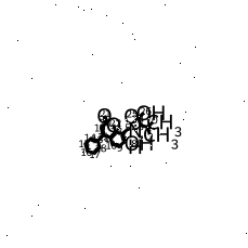 CC(C)[C@@H](NCc1c(O)ccc2c(-c3ccccc3)cc(=O)oc12)C(=O)O